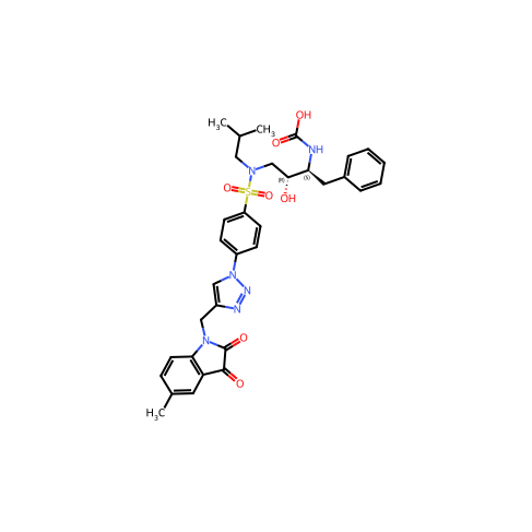 Cc1ccc2c(c1)C(=O)C(=O)N2Cc1cn(-c2ccc(S(=O)(=O)N(CC(C)C)C[C@@H](O)[C@H](Cc3ccccc3)NC(=O)O)cc2)nn1